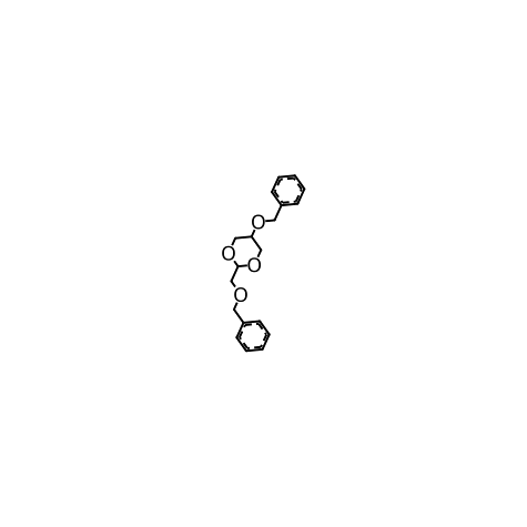 c1ccc(COCC2OCC(OCc3ccccc3)CO2)cc1